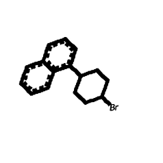 BrC1CCC(c2cccc3ccccc23)CC1